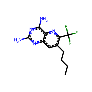 CCCCc1cc2nc(N)nc(N)c2nc1C(F)(F)F